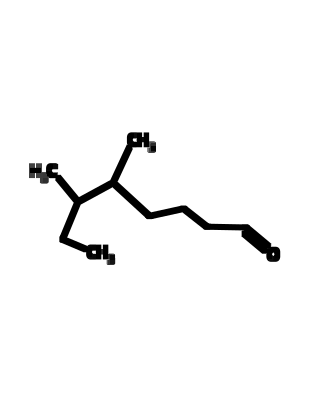 CCC(C)C(C)CCCC=O